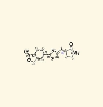 O=C1NCC/C1=C\c1ccc(-c2ccc3c(c2)COC3=O)s1